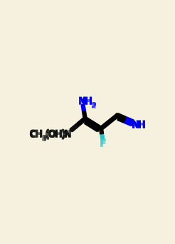 CN(O)/C(N)=C(\F)C=N